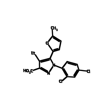 CCc1c(C(=O)O)nn(-c2ccc(Cl)cc2Cl)c1-c1ccc(C)o1